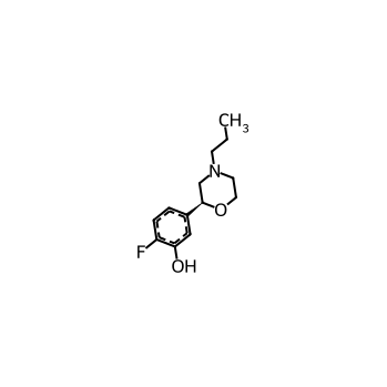 CCCN1CCO[C@@H](c2ccc(F)c(O)c2)C1